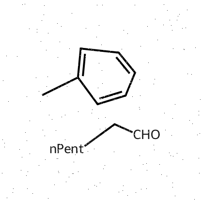 CCCCCCC=O.Cc1ccccc1